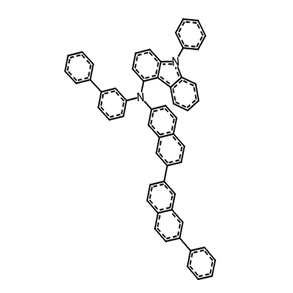 c1ccc(-c2cccc(N(c3ccc4ccc(-c5ccc6ccc(-c7ccccc7)cc6c5)cc4c3)c3cccc4c3c3ccccc3n4-c3ccccc3)c2)cc1